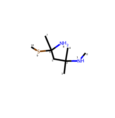 CNC(C)(C)CC(C)(N)SC